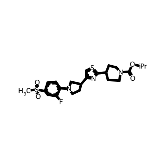 CC(C)OC(=O)N1CCC(c2nc(C3CCN(c4ccc(S(C)(=O)=O)cc4F)C3)cs2)CC1